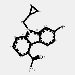 CCCc1c[c]c2c3c(C(N)=O)cccc3n(CC3CC3)c2c1